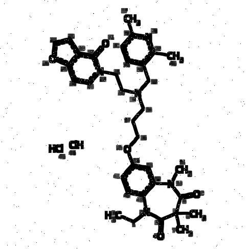 CCN1C(=O)C(C)(C)C(=O)N(C)c2cc(OCCCN(CCn3ccc4occc4c3=O)Cc3ccc(C)nc3C)ccc21.Cl.Cl